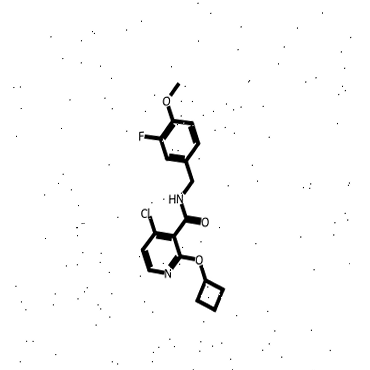 COc1ccc(CNC(=O)c2c(Cl)ccnc2OC2CCC2)cc1F